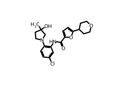 CC1(O)CCN(c2ccc(Cl)cc2NC(=O)c2ccc(C3CCOCC3)o2)C1